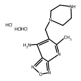 Cc1nc2nonc2c(N)c1CN1CCNCC1.Cl.Cl.Cl